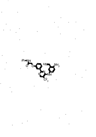 CC(C)NC(=O)COc1cccc(-c2ncc(C(F)(F)F)c(Nc3ccc(N)c(C=N)c3)n2)c1